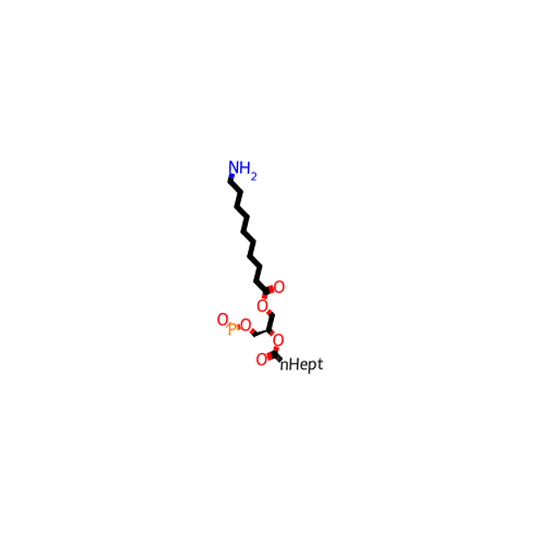 CCCCCCCC(=O)O[C@@H](COP=O)COC(=O)CCCCCCCCCN